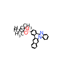 CC1(C)OB(c2ccc3c(c2)c2cc4ccccc4cc2n2c4ccccc4nc32)OC1(C)C